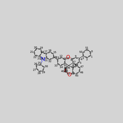 c1ccc(-c2ccc3c(c2)Oc2cc(-c4ccc5c6ccccc6n(-c6ccccc6)c5c4)ccc2C32c3ccccc3Oc3ccccc32)cc1